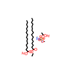 CCCCCCCCCCCCCCCC(=O)O.CCCCCCCCCCCCCCCC(=O)OCC.CN.COS(=O)(=O)OC(C)O